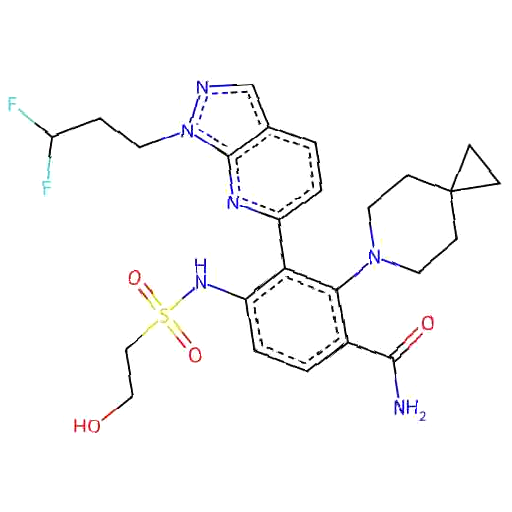 NC(=O)c1ccc(NS(=O)(=O)CCO)c(-c2ccc3cnn(CCC(F)F)c3n2)c1N1CCC2(CC1)CC2